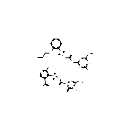 COc1nc(C)nc(NC(=O)NS(=O)(=O)c2ccccc2OCCCl)n1.COc1nn(C(=O)NS(=O)(=O)c2c(C(=O)O)csc2C)c(=O)n1C